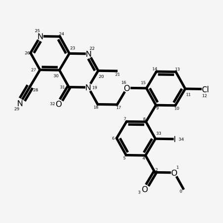 COC(=O)c1cccc(-c2cc(Cl)ccc2OCCn2c(C)nc3cncc(C#N)c3c2=O)c1I